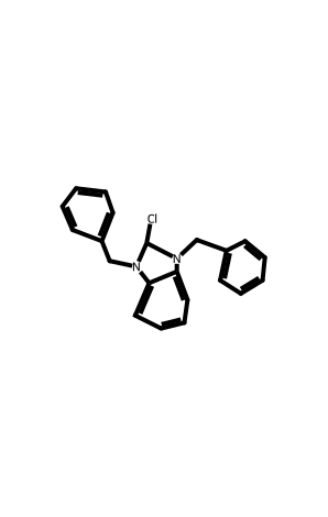 ClC1N(Cc2ccccc2)c2ccccc2N1Cc1ccccc1